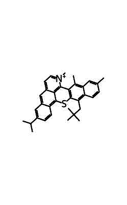 Cc1ccc2c(CC(C)(C)C)c3c(c(C)c2c1)-c1c2c(c4ccc(C(C)C)cc4cc2cc[n+]1C)S3